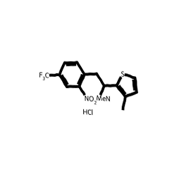 CNC(Cc1ccc(C(F)(F)F)cc1[N+](=O)[O-])c1sccc1C.Cl